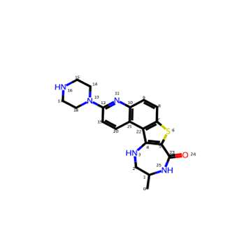 CC1CNc2c(sc3ccc4nc(N5CCNCC5)ccc4c23)C(=O)N1